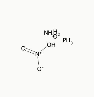 N.O.O=[N+]([O-])O.P